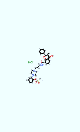 Cc1c(-c2ccccc2)oc2c(C(=O)NCCCN3CCN(c4ccccc4OS(=O)(=O)C(F)(F)F)CC3)cccc2c1=O.Cl